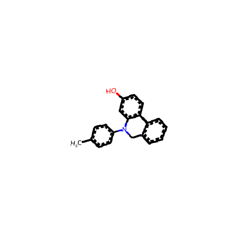 Cc1ccc(N2Cc3ccccc3-c3ccc(O)cc32)cc1